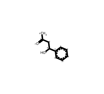 CC(=O)CC(O)c1ccccc1